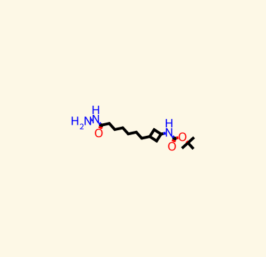 CC(C)(C)OC(=O)NC1CC(CCCCCCC(=O)NN)C1